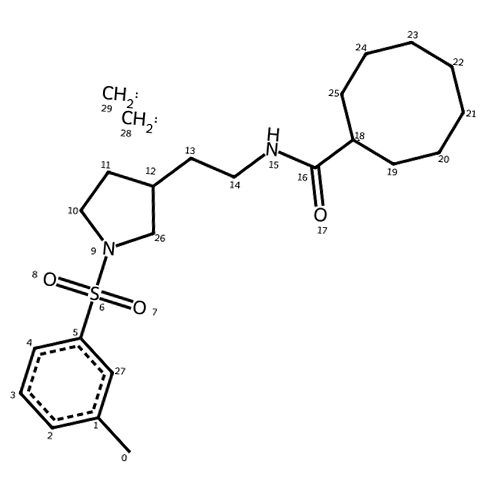 Cc1cccc(S(=O)(=O)N2CCC(CCNC(=O)[C]3CCCCCCC3)C2)c1.[CH2].[CH2]